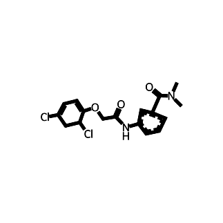 CN(C)C(=O)c1cccc(NC(=O)COC2=CC=C(Cl)CC2Cl)c1